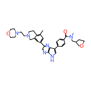 Cc1cc(-c2cnc3[nH]cc(-c4ccc(C(=O)N(C)CC5CCOC5)cc4)c3n2)cc2c1CCN(CCN1CCOCC1)C2